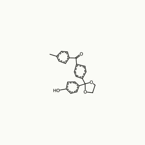 Cc1ccc(C(=O)c2ccc(C3(c4ccc(O)cc4)OCCO3)cc2)cc1